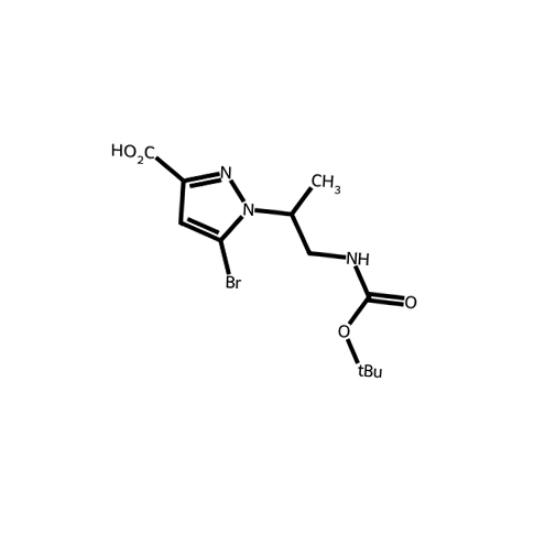 CC(CNC(=O)OC(C)(C)C)n1nc(C(=O)O)cc1Br